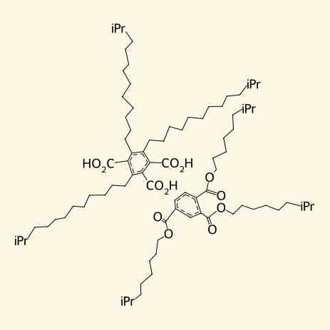 CC(C)CCCCCCCCCCc1c(CCCCCCCCCCC(C)C)c(C(=O)O)c(C(=O)O)c(CCCCCCCCCCC(C)C)c1C(=O)O.CC(C)CCCCCCOC(=O)c1ccc(C(=O)OCCCCCCC(C)C)c(C(=O)OCCCCCCC(C)C)c1